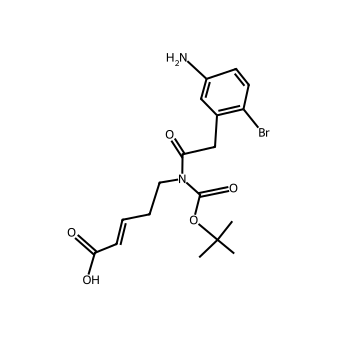 CC(C)(C)OC(=O)N(CCC=CC(=O)O)C(=O)Cc1cc(N)ccc1Br